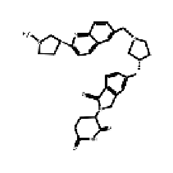 CN1CC[C@H](c2ccc3cc(CN4CC[C@H](Oc5ccc6c(c5)CN(C5CCC(=O)NC5=O)C6=O)C4)ccc3n2)C1